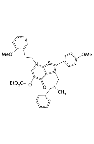 CCOC(=O)Oc1cn(CCc2ccccc2OC)c2sc(-c3ccc(OC)cc3)c(CN(C)Cc3ccccc3)c2c1=O